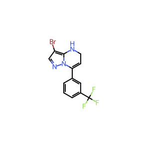 FC(F)(F)c1cccc(C2=CCNc3c(Br)cnn32)c1